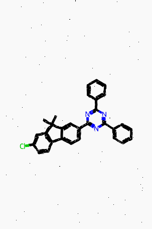 CC1(C)c2cc(Cl)ccc2-c2ccc(-c3nc(-c4ccccc4)nc(-c4ccccc4)n3)cc21